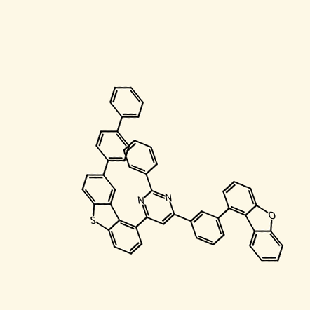 c1ccc(-c2ccc(-c3ccc4sc5cccc(-c6cc(-c7cccc(-c8cccc9oc%10ccccc%10c89)c7)nc(-c7ccccc7)n6)c5c4c3)cc2)cc1